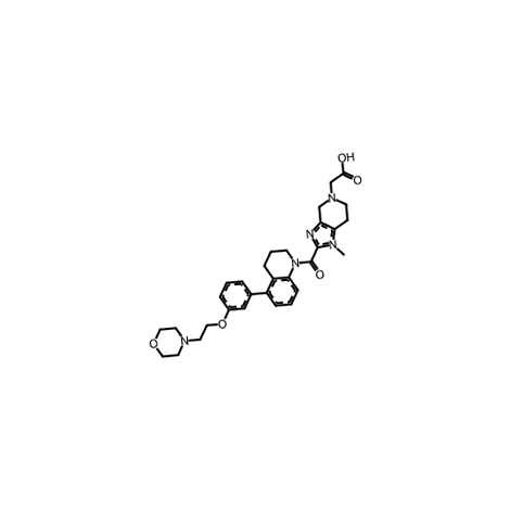 Cn1c(C(=O)N2CCCc3c(-c4cccc(OCCN5CCOCC5)c4)cccc32)nc2c1CCN(CC(=O)O)C2